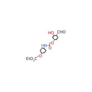 CCOC(=O)COc1ccc(NC(=O)COc2ccc(C=O)c(O)c2)cc1